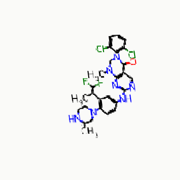 CC(c1cc(Nc2ncc3c(n2)N(C)CN(c2c(Cl)cccc2Cl)C3=O)ccc1N1CCN[C@H](C)C1)C(F)F